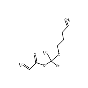 C=CCCCOC(C)(CC)OC(=O)C=C